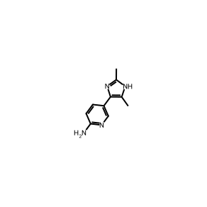 Cc1nc(-c2ccc(N)nc2)c(C)[nH]1